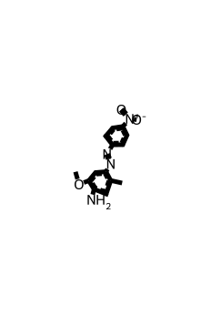 COc1cc(/N=N/c2ccc([N+](=O)[O-])cc2)c(C)cc1N